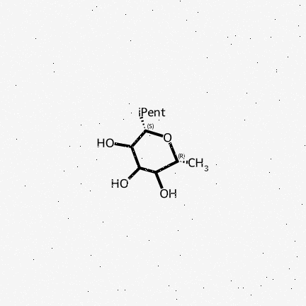 CCCC(C)[C@@H]1O[C@H](C)C(O)C(O)C1O